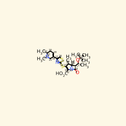 C[C@@H](O[Si](C)(C)C)[C@H]1C(=O)N2C(C(=O)O)=C(Sc3nc(C4=CC[C@H](C)N(C)C4)cs3)[C@H](C)[C@H]12